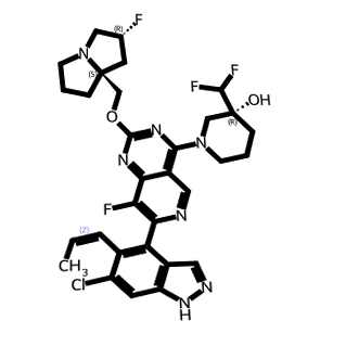 C/C=C\c1c(Cl)cc2[nH]ncc2c1-c1ncc2c(N3CCC[C@](O)(C(F)F)C3)nc(OC[C@@]34CCCN3C[C@H](F)C4)nc2c1F